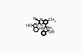 Cc1cc([C@@H](C)Nc2ccccc2C(=O)O)c2nc(N3CC(O)C4CCCCC43)c(C#N)nc2c1